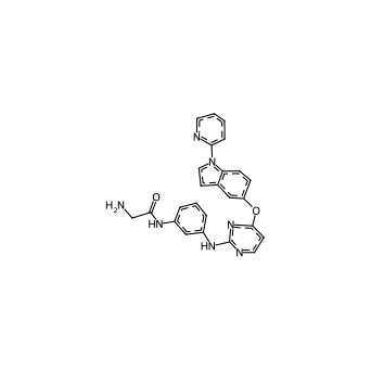 NCC(=O)Nc1cccc(Nc2nccc(Oc3ccc4c(ccn4-c4ccccn4)c3)n2)c1